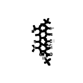 CC(=O)c1cc(C(C)(C)C)c(O)c2c1C(C)C1C(=C(O)C3(O)C(=O)C(C(=O)NC(C)(C)C)=C(O)C(N(C)C)C3C1O)C2=O